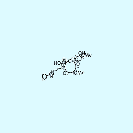 CC[C@H]1OC(=O)[C@@](C)(F)[C@@H](O[C@H]2C[C@@](C)(OC)[C@@H](O)[C@H](C)O2)[C@H](C)[C@@H](C)[C@](C)(OC)C[C@@H](C)C(=O)[C@H](C)[C@H]2N(CCCCn3cnc(-c4cccnc4)c3)C(O)O[C@]12C